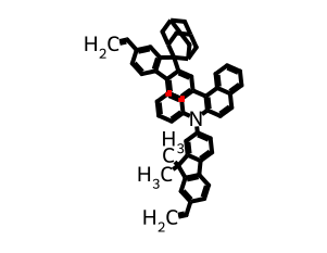 C=Cc1ccc2c(c1)C(C)(C)c1cc(N(c3ccccc3)c3ccc4ccccc4c3-c3ccc4c(c3)C3(c5cc(C=C)ccc5-4)C4CC5CC(C4)CC3C5)ccc1-2